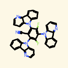 N#Cc1c(-n2c3ccccc3c3ncccc32)c(F)c(-n2c3ccccc3c3ncccc32)c(F)c1-n1c2ccccc2c2ncccc21